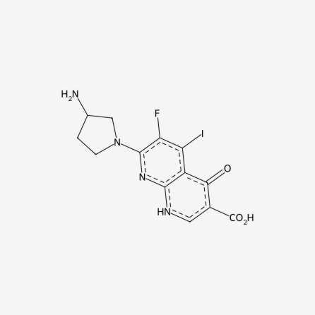 NC1CCN(c2nc3[nH]cc(C(=O)O)c(=O)c3c(I)c2F)C1